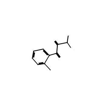 Cc1ccccc1C(=O)C(=O)C(C)O